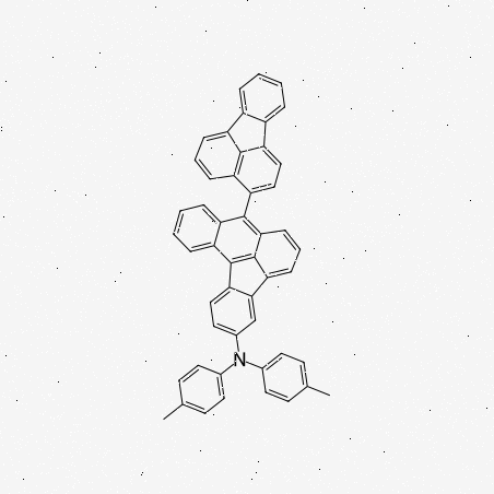 Cc1ccc(N(c2ccc(C)cc2)c2ccc3c(c2)-c2cccc4c(-c5ccc6c7c(cccc57)-c5ccccc5-6)c5ccccc5c-3c24)cc1